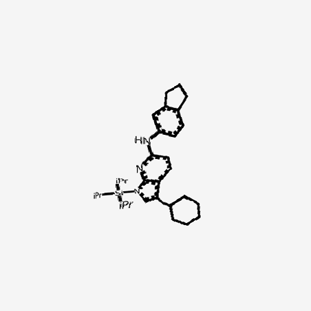 CC(C)[Si](C(C)C)(C(C)C)n1cc(C2CCCCC2)c2ccc(Nc3ccc4c(c3)CCC4)nc21